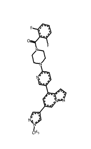 Cn1cc(-c2cc(-c3ccc(N4CCN(C(=O)c5c(F)cccc5F)CC4)nc3)c3ccnn3c2)cn1